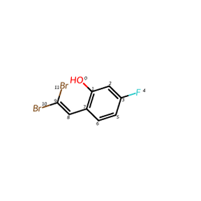 Oc1cc(F)ccc1C=C(Br)Br